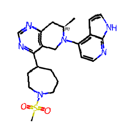 C[C@@H]1Cc2ncnc(C3CCCN(S(C)(=O)=O)CC3)c2CN1c1ccnc2[nH]ccc12